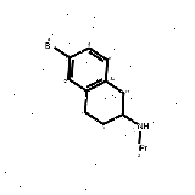 CC(C)NC1CCc2cc(Br)ccc2C1